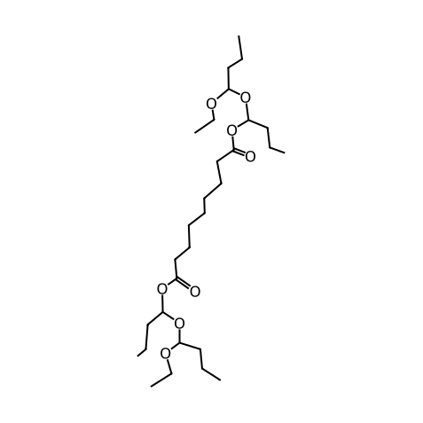 CCCC(OCC)OC(CCC)OC(=O)CCCCCCCC(=O)OC(CCC)OC(CCC)OCC